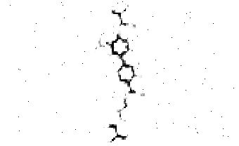 C=C(C)C(=O)OCCOC(=O)c1ccc(-c2ccc(OC(=O)C(=C)C)c(OC)c2)cc1